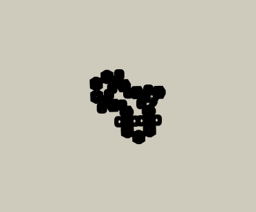 CN1C(=O)c2ccc(Oc3ccc4c(c3)C(=O)N(c3cccc(-c5cccc(-c6cccc(N7C(=O)c8ccc(Oc9ccc%10c(c9)C(=O)N(c9cccc(-c%11cccc(-c%12cccc(N%13C(=O)c%14ccc(C#Cc%15ccccc%15)cc%14C%13=O)c%12)c%11)c9)C%10=O)cc8C7=O)c6)c5)c3)C4=O)cc2C1=O